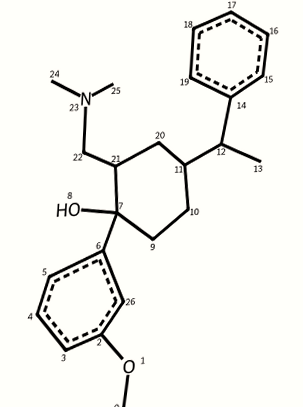 COc1cccc(C2(O)CCC(C(C)c3ccccc3)CC2CN(C)C)c1